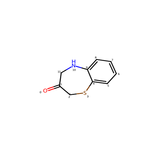 O=C1[CH]Sc2ccccc2NC1